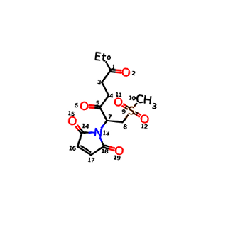 CCC(=O)CCC(=O)C(CS(C)(=O)=O)N1C(=O)C=CC1=O